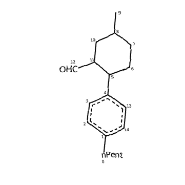 CCCCCc1ccc(C2CCC(C)CC2C=O)cc1